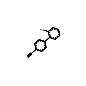 N#Cc1ccc(-c2ccccc2O)cc1